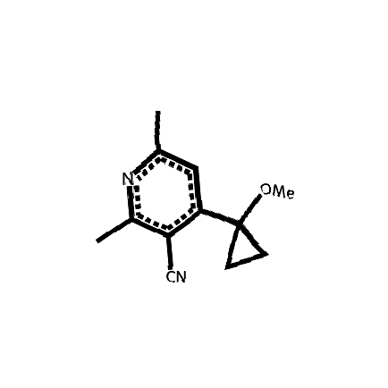 COC1(c2cc(C)nc(C)c2C#N)CC1